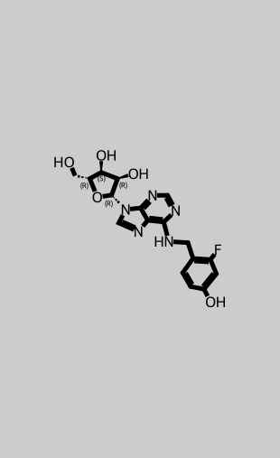 OC[C@H]1O[C@@H](n2cnc3c(NCc4ccc(O)cc4F)ncnc32)[C@H](O)[C@@H]1O